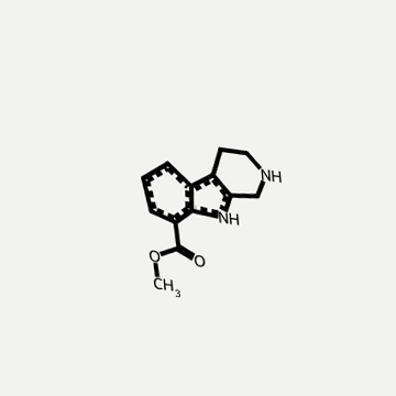 COC(=O)c1cccc2c3c([nH]c12)CNCC3